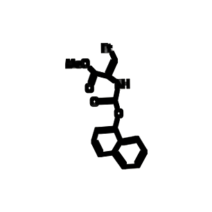 CCC=C(NC(=O)Oc1cccc2ccccc12)C(=O)OC